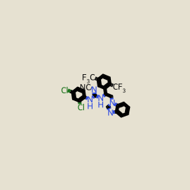 N#CN=C(Nc1ccc(Cl)cc1Cl)NC(Cn1cnc2ccccc21)c1cc(C(F)(F)F)ccc1C(F)(F)F